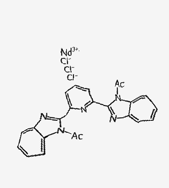 CC(=O)n1c(-c2cccc(-c3nc4ccccc4n3C(C)=O)n2)nc2ccccc21.[Cl-].[Cl-].[Cl-].[Nd+3]